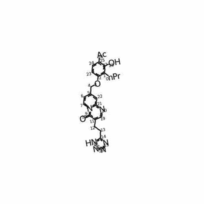 CCCc1c(OCc2ccn3c(=O)c(CCc4nnn[nH]4)cnc3c2)ccc(C(C)=O)c1O